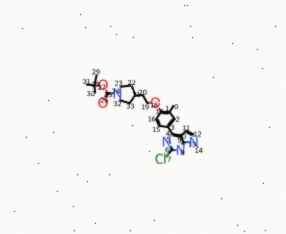 Cc1cc(-c2nc(Cl)nc3c2ccn3C)ccc1OCCC1CCN(C(=O)OC(C)(C)C)CC1